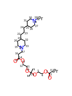 CC(C)C(=O)OCCOC(C)(C)OCCOC(=O)CCN1CCC(CCCC2CCN(C(C)C)CC2)CC1